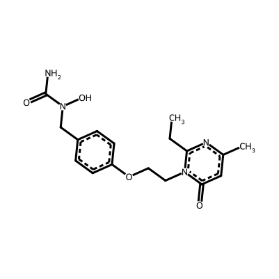 CCc1nc(C)cc(=O)n1CCOc1ccc(CN(O)C(N)=O)cc1